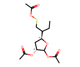 CCC(CSOC(C)=O)[C@@H]1C[C@@H](OC(C)=O)C(OC(C)=O)O1